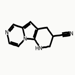 N#CC1CNc2c(cc3cnccn23)C1